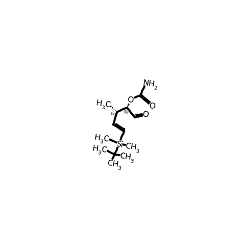 C[C@@H](C=C[Si](C)(C)C(C)(C)C)[C@@H](C=O)OC(N)=O